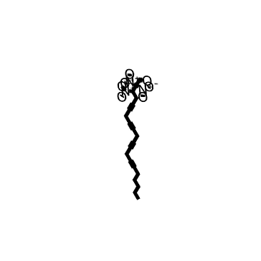 CCCCCC#CCC#CCC#CCC#CCC([N+](=O)[O-])C([C]=O)([N+](=O)[O-])[N+](=O)[O-]